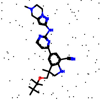 CN1CCn2nc(Nc3nccc(-c4cc(C#N)c5c(c4)C(C)(CO[Si](C)(C)C(C)(C)C)CN5)n3)cc2C1